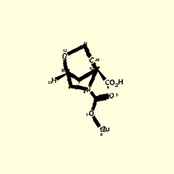 CC(C)(C)OC(=O)N1C[C@H]2C[C@]1(C(=O)O)CCO2